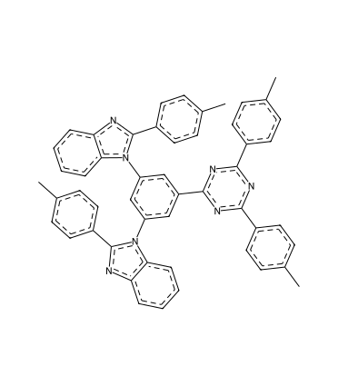 Cc1ccc(-c2nc(-c3ccc(C)cc3)nc(-c3cc(-n4c(-c5ccc(C)cc5)nc5ccccc54)cc(-n4c(-c5ccc(C)cc5)nc5ccccc54)c3)n2)cc1